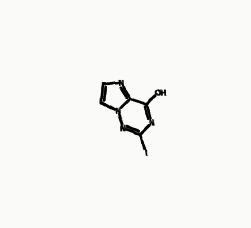 Oc1nc(I)nn2ccnc12